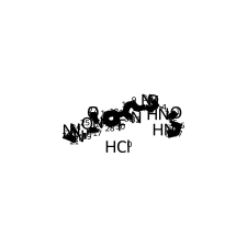 Cl.O=C(NC[C@@H]1CC(c2ccc(-c3ccc(N4C[C@H](Cn5ccnn5)OC4=O)cc3F)cn2)=NO1)[C@@H]1CCCN1